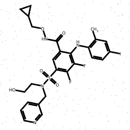 Cc1cc(I)ccc1Nc1c(C(=O)NOCC2CC2)cc(S(=O)(=O)N(CCO)Cc2cccnc2)c(F)c1F